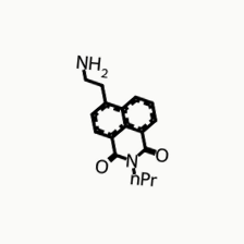 CCCN1C(=O)c2cccc3c(CCN)ccc(c23)C1=O